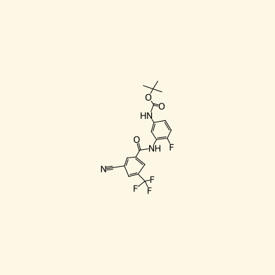 CC(C)(C)OC(=O)Nc1ccc(F)c(NC(=O)c2cc(C#N)cc(C(F)(F)F)c2)c1